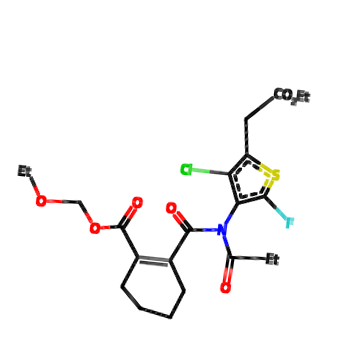 CCOCOC(=O)C1=C(C(=O)N(C(=O)CC)c2c(F)sc(CC(=O)OCC)c2Cl)CCCC1